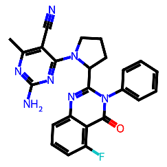 Cc1nc(N)nc(N2CCCC2c2nc3cccc(F)c3c(=O)n2-c2ccccc2)c1C#N